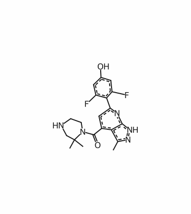 Cc1n[nH]c2nc(-c3c(F)cc(O)cc3F)cc(C(=O)N3CCNCC3(C)C)c12